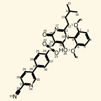 COc1cccc(OC)c1-n1c(CCC(C)C)nc(=O)c(S(=O)(=O)c2ccc(-c3ccc(C#N)nc3)cc2)c1O